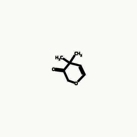 CC1(C)C=COCC1=O